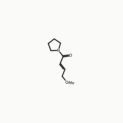 COCC=CC(=O)N1CCCC1